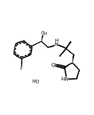 CC(C)(C[C@H]1CCNC1=O)NC[C@H](O)c1cccc(F)c1.Cl